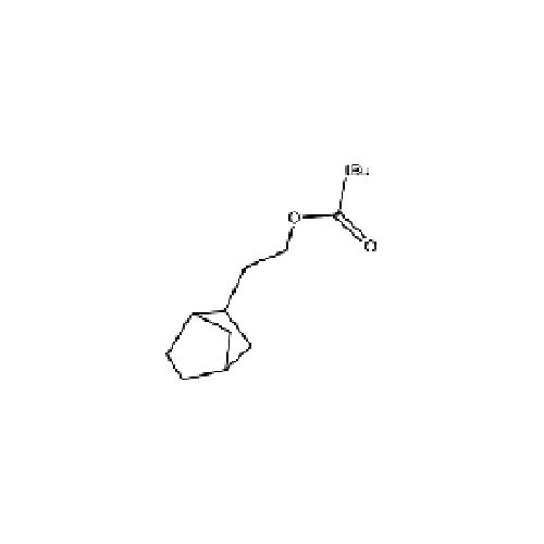 CC(C)(C)C(=O)OCCC1CC2CCC1C2